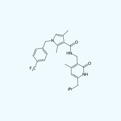 Cc1cn(Cc2ccc(C(F)(F)F)cc2)c(C)c1C(=O)NCc1c(C)cc(CC(C)C)[nH]c1=O